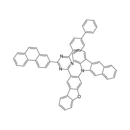 c1ccc(-c2ccc(-c3nc(-c4ccc5c(ccc6ccccc65)c4)nc(-c4cc5c(cc4-n4c6ccccc6c6cc7ccccc7cc64)oc4ccccc45)n3)cc2)cc1